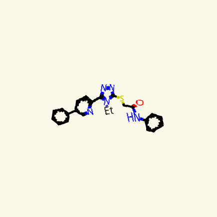 CCn1c(SCC(=O)Nc2ccccc2)nnc1-c1ccc(-c2ccccc2)cn1